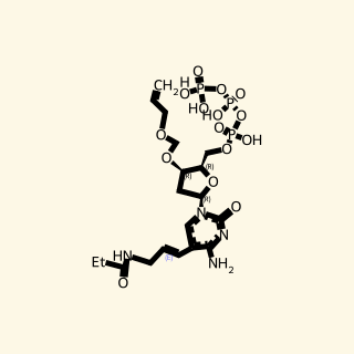 C=CCOCO[C@@H]1C[C@H](n2cc(/C=C/CNC(=O)CC)c(N)nc2=O)O[C@@H]1COP(=O)(O)OP(=O)(O)OP(=O)(O)O